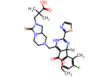 [2H]C1(c2cccc(F)c2C)N=C(c2nccs2)NC(CN2CCN3C(=S)N(CC(C)(C)C(=O)O)CC3C2)=C1C(=O)OCC